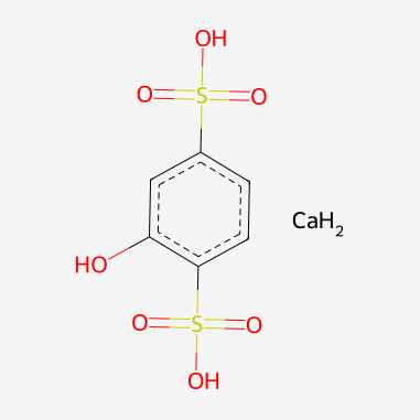 O=S(=O)(O)c1ccc(S(=O)(=O)O)c(O)c1.[CaH2]